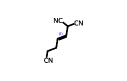 N#CCC/C=C/C(C#N)C#N